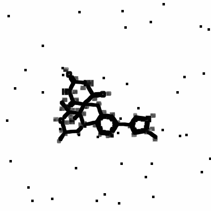 C[C@@H]1CN2c3cnc(-c4cnn(C)c4)cc3CC3(C(=O)NC(=O)NC3=O)[C@H]2[C@H](C)O1